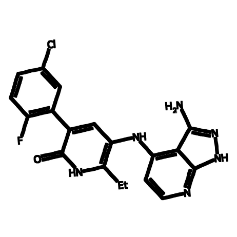 CCc1[nH]c(=O)c(-c2cc(Cl)ccc2F)cc1Nc1ccnc2[nH]nc(N)c12